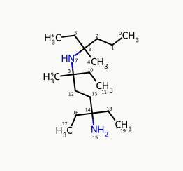 CCCC(C)(CC)NC(C)(CC)CCC(N)(CC)CC